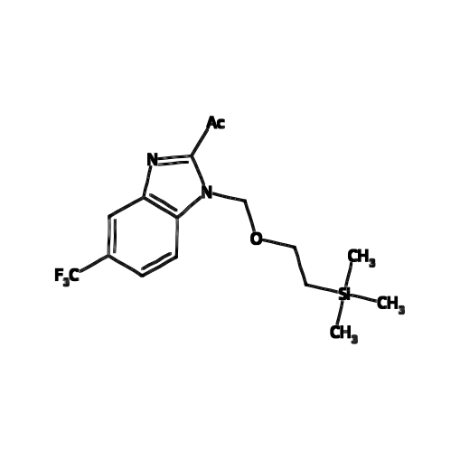 CC(=O)c1nc2cc(C(F)(F)F)ccc2n1COCC[Si](C)(C)C